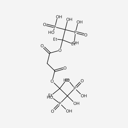 CCC(CC)(OC(=O)CC(=O)OC(CC)(CC)C(O)(P(=O)(O)O)P(=O)(O)O)C(O)(P(=O)(O)O)P(=O)(O)O